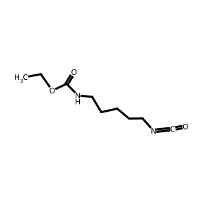 CCOC(=O)NCCCCCN=C=O